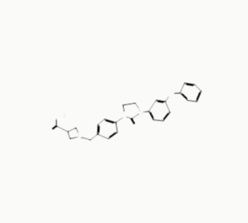 O=C(O)C1CN(Cc2ccc(N3CCN(c4cccc(Sc5ccccc5)c4)C3=O)cc2)C1